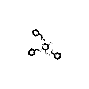 N[C@H]1[C@H](OCc2ccccc2)O[C@H](COCc2ccccc2)[C@@H](O)[C@@H]1OCc1ccccc1